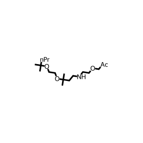 CCCC(C)(C)OCCOC(C)(C)CCNCCOCC(C)=O